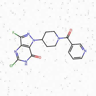 O=C(c1cccnc1)N1CCC(n2nc(F)c3nc(Cl)[nH]c(=O)c32)CC1